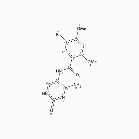 COc1cc(OC)c(C(=O)Nc2c[nH]c(=O)nc2N)cc1Br